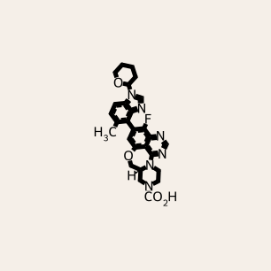 Cc1ccc2c(ncn2C2CCCCO2)c1-c1cc2c3c(ncnc3c1F)N1CCN(C(=O)O)C[C@H]1CO2